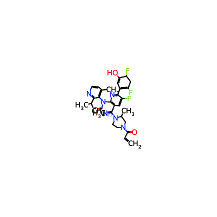 C=CC(=O)N1CCN(/C(=N/C)c2cc(F)c(C3=C(F)CC(F)C(O)=C3)nc2N(C=O)c2c(C)ccnc2C(C)C)C(C)C1